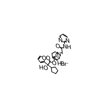 O=C(C[N+]12CCC(CC1)[C@@H](OC(=O)C(O)(c1ccco1)C1CCCC1)C2)Nc1ncccn1.[Br-]